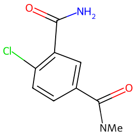 CNC(=O)c1ccc(Cl)c(C(N)=O)c1